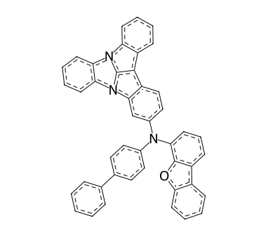 c1ccc(-c2ccc(N(c3ccc4c5c6ccccc6n6c7ccccc7n(c4c3)c56)c3cccc4c3oc3ccccc34)cc2)cc1